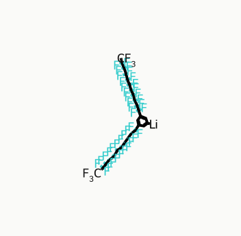 [Li][c]1cc(C(F)(F)C(F)(F)C(F)(F)C(F)(F)C(F)(F)C(F)(F)C(F)(F)C(F)(F)C(F)(F)C(F)(F)C(F)(F)F)cc(C(F)(F)C(F)(F)C(F)(F)C(F)(F)C(F)(F)C(F)(F)C(F)(F)C(F)(F)C(F)(F)C(F)(F)C(F)(F)F)c1